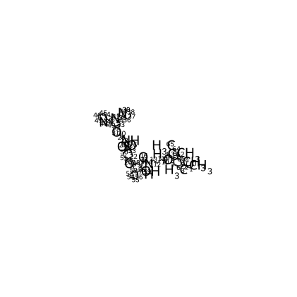 CCC(C)(C)c1ccc(OCCCCNC(=O)c2cc(Oc3ccc(S(=O)(=O)NCCOc4cc(-c5ccccn5)nc(-c5ccccn5)c4)cc3)c3ccccc3c2O)c(C(C)(C)CC)c1